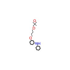 CC1(COCCCCOc2cccc(Nc3ccccc3)c2)COC1